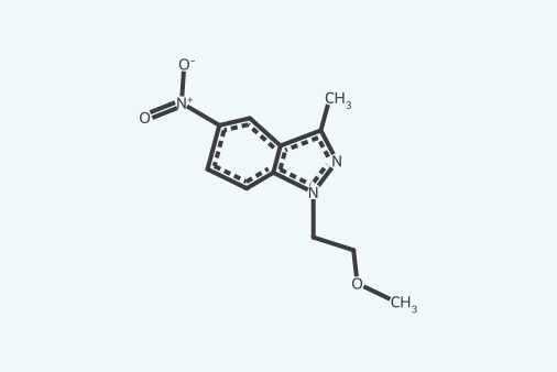 COCCn1nc(C)c2cc([N+](=O)[O-])ccc21